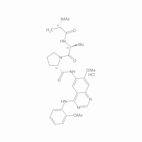 CN[C@@H](C)C(=O)N[C@H](C(=O)N1CCC[C@H]1C(=O)Nc1cc2c(Nc3ccccc3OC)ncnc2cc1OC)C(C)(C)C.Cl